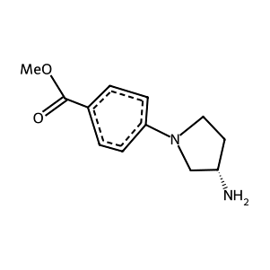 COC(=O)c1ccc(N2CC[C@H](N)C2)cc1